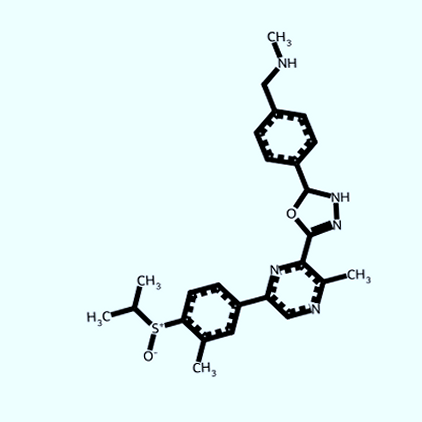 CNCc1ccc(C2NN=C(c3nc(-c4ccc([S+]([O-])C(C)C)c(C)c4)cnc3C)O2)cc1